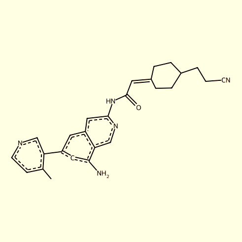 Cc1ccncc1-c1cc(N)c2cnc(NC(=O)C=C3CCC(CCC#N)CC3)cc2c1